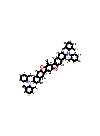 Cc1ccccc1N(c1ccc2cc3c(cc2c1)oc1c(C)c2c(cc13)oc1cc3cc(N(c4ccccc4C)c4c(C)cccc4C)ccc3cc12)c1c(C)cccc1C